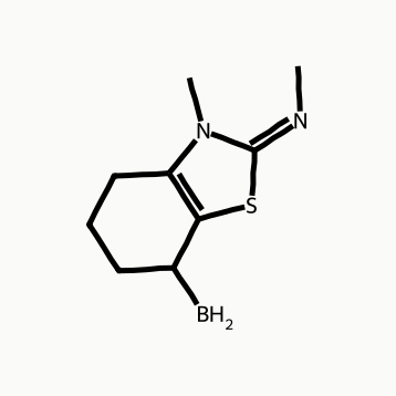 BC1CCCc2c1s/c(=N/C)n2C